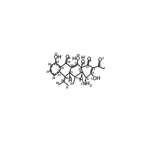 CC(=O)C1=C(O)[C@@H](N)[C@@H]2C(C)[C@H]3C(=C(O)[C@]2(O)C1=O)C(=O)c1c(O)cccc1C3C(C)C